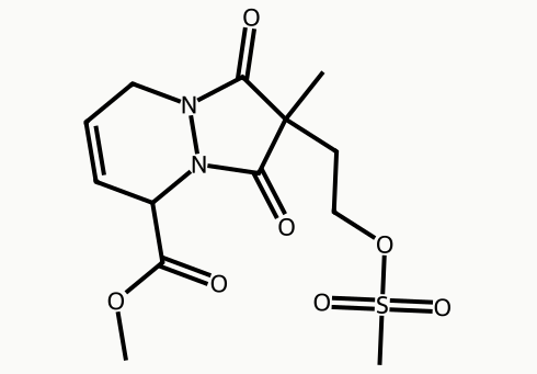 COC(=O)C1C=CCN2C(=O)C(C)(CCOS(C)(=O)=O)C(=O)N12